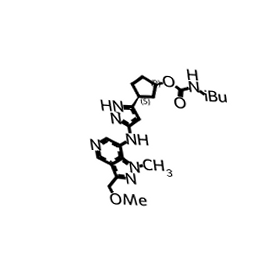 CCC(C)NC(=O)O[C@@H]1CC[C@H](c2cc(Nc3cncc4c(COC)nn(C)c34)n[nH]2)C1